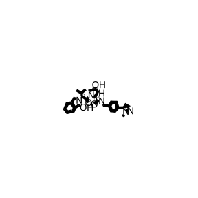 CC(C)[C@@H](C(=O)N1C[C@H](O)C[C@H]1C(=O)NCc1ccc(-c2ccnn2C)cc1)N1Cc2ccccc2C1O